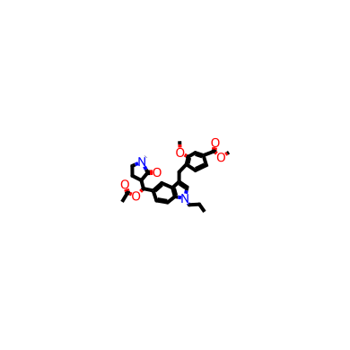 CCCn1cc(Cc2ccc(C(=O)OC)cc2OC)c2cc(C(OC(C)=O)C3CCN(C)C3=O)ccc21